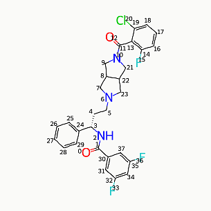 O=C(N[C@@H](CCN1CC2CN(C(=O)c3c(F)cccc3Cl)CC2C1)c1ccccc1)c1cc(F)cc(F)c1